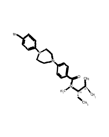 CC[C@@H]([C@H](C)O)N(C)C(=O)c1ccc(N2CCN(c3ccc(Br)cc3)CC2)cc1